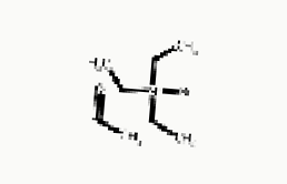 CC[N+](Br)(CC)CC.C[C]=O